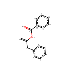 C=C(Cc1ccccc1)OC(=O)c1ccccc1